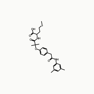 CSCCC(NC(=O)C(C)(C)Oc1ccc(CC(=O)Nc2cc(C)cc(C)c2)cc1)C(=O)O